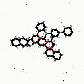 c1ccc(-c2ccc(N(c3cccc(-c4ccc5ccccc5c4)c3)c3ccccc3-c3ccc4oc5cc6ccccc6cc5c4c3)c(-c3ccccc3)c2)cc1